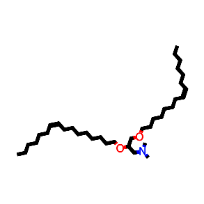 CCCCCC/C=C\CCCCCCCCOC(COCCCCCCC/C=C\CCCCCC)CN(C)C